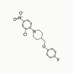 O=[N+]([O-])c1ccc(N2CCC(COc3ccc(F)cc3)CC2)c(Cl)c1